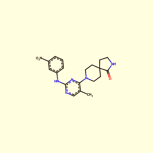 Cc1cnc(Nc2cccc([N+](=O)[O-])c2)nc1N1CCC2(CCNC2=O)CC1